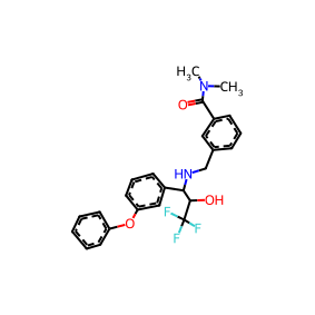 CN(C)C(=O)c1cccc(CNC(c2cccc(Oc3ccccc3)c2)C(O)C(F)(F)F)c1